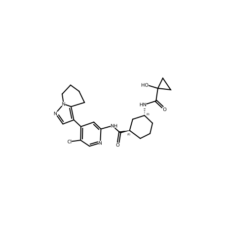 O=C(Nc1cc(-c2cnn3c2CCCC3)c(Cl)cn1)[C@@H]1CCC[C@@H](NC(=O)C2(O)CC2)C1